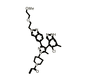 C=CC(=O)N1CCC(n2nc(-c3ccc4nn(CCOCCOC)cc4c3)c(-c3c(Cl)c(C)cc4[nH]ncc34)c2C)CC1